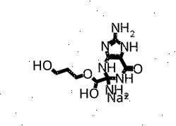 Nc1nc2c([nH]1)C(=O)NC(N)(C(O)OCCCO)N2.[Na+]